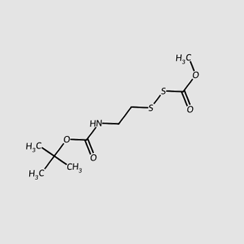 COC(=O)SSCCNC(=O)OC(C)(C)C